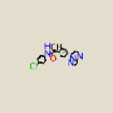 C[C@H](C(=O)Nc1ccc(Cl)cc1)[C@H]1CC[C@@H](c2ccnc3ccnn32)CC1